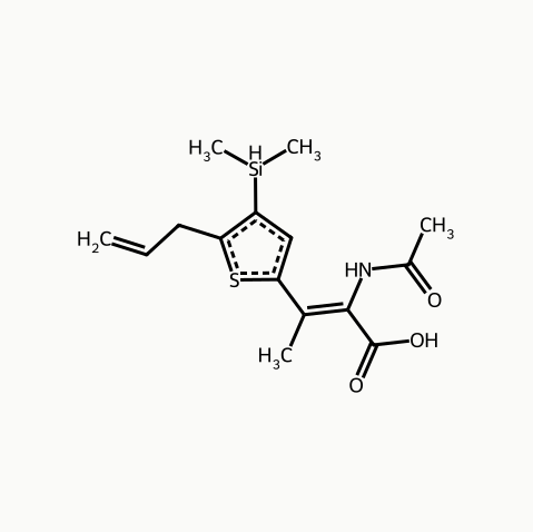 C=CCc1sc(C(C)=C(NC(C)=O)C(=O)O)cc1[SiH](C)C